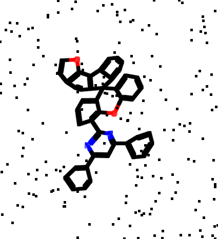 c1ccc(-c2cc(-c3ccccc3)nc(-c3cccc4c3Oc3ccccc3C43c4ccccc4-c4c3ccc3ccoc43)n2)cc1